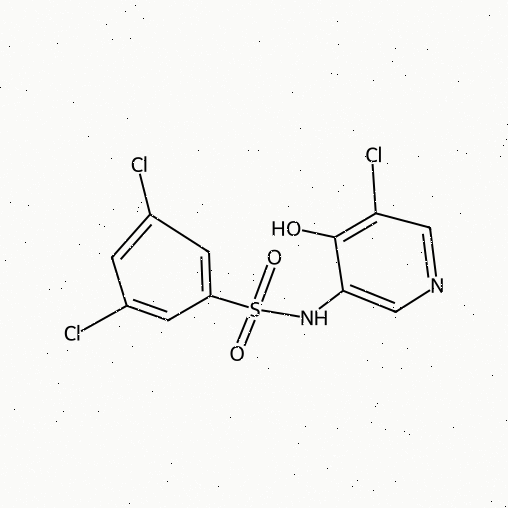 O=S(=O)(Nc1cncc(Cl)c1O)c1cc(Cl)cc(Cl)c1